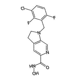 O=C(NO)c1cc2c(cn1)N(Cc1c(F)ccc(Cl)c1F)CC2